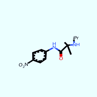 CC(C)NC(C)(C)C(=O)Nc1ccc([N+](=O)[O-])cc1